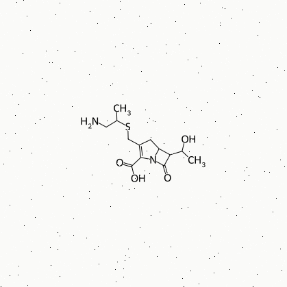 CC(CN)SCC1=C(C(=O)O)N2C(=O)C(C(C)O)C2C1